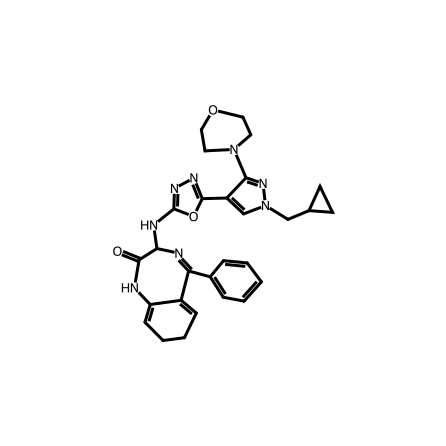 O=C1NC2=CCCC=C2C(c2ccccc2)=NC1Nc1nnc(-c2cn(CC3CC3)nc2N2CCOCC2)o1